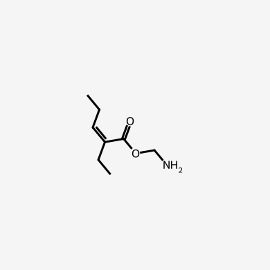 CCC=C(CC)C(=O)OCN